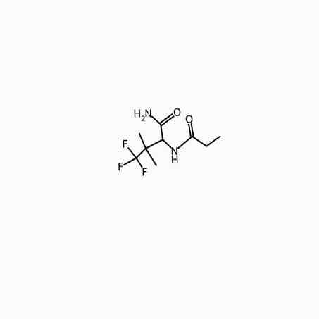 CCC(=O)NC(C(N)=O)C(C)(C)C(F)(F)F